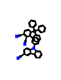 N#Cc1ccc2c(c1)c1ccccc1n2-c1cccc(-c2c([Si](c3ccccc3)(c3ccccc3)c3ccccc3)ccc(C#N)c2C#N)c1